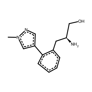 Cn1cc(-c2ccccc2C[C@H](N)CO)cn1